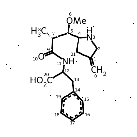 C=C1CN[C@H]([C@H](OC)[C@@H](C)C(=O)NC(Cc2ccccc2)C(=O)O)C1